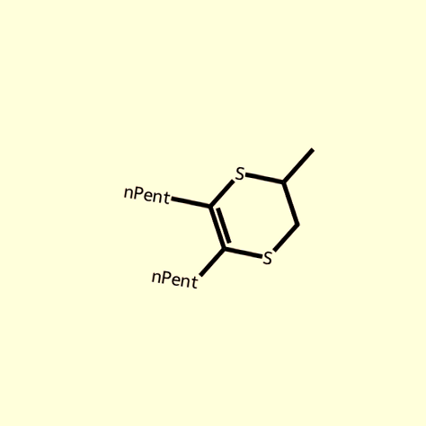 CCCCCC1=C(CCCCC)SC(C)CS1